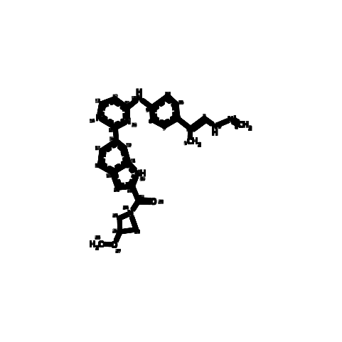 C=NN/C=C(\C)c1ccc(Nc2ccnc(-c3ccc4cc(C(=O)N5CC(OC)C5)[nH]c4c3)n2)cc1